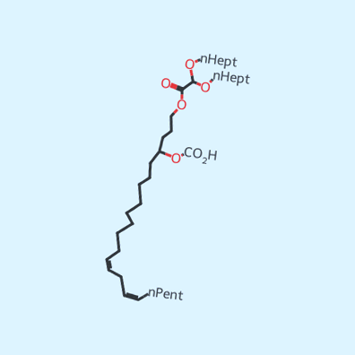 CCCCC/C=C\C/C=C\CCCCCCCCC(CCCOC(=O)C(OCCCCCCC)OCCCCCCC)OC(=O)O